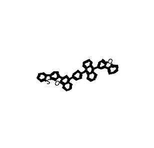 c1ccc2c(c1)oc1ccc(-c3c4ccccc4c(-c4ccc(-c5cc6c7ccc8c9ccccc9sc8c7oc6c6ccccc56)cc4)c4ccccc34)cc12